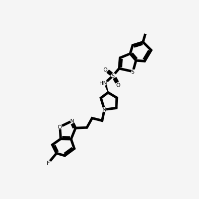 Cc1ccc2sc(S(=O)(=O)N[C@H]3CCN(CCCc4noc5cc(F)ccc45)C3)cc2c1